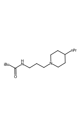 CCCC1CCN(CCCNC(=O)C(C)CC)CC1